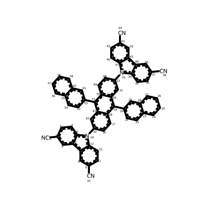 N#Cc1ccc2c(c1)c1cc(C#N)ccc1n2-c1ccc2c(-c3ccc4ccccc4c3)c3cc(-n4c5ccc(C#N)cc5c5cc(C#N)ccc54)ccc3c(-c3ccc4ccccc4c3)c2c1